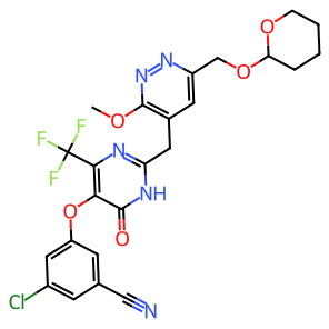 COc1nnc(COC2CCCCO2)cc1Cc1nc(C(F)(F)F)c(Oc2cc(Cl)cc(C#N)c2)c(=O)[nH]1